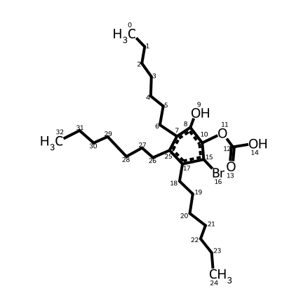 CCCCCCCc1c(O)c(OC(=O)O)c(Br)c(CCCCCCC)c1CCCCCCC